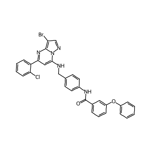 O=C(Nc1ccc(CNc2cc(-c3ccccc3Cl)nc3c(Br)cnn23)cc1)c1cccc(Oc2ccccc2)c1